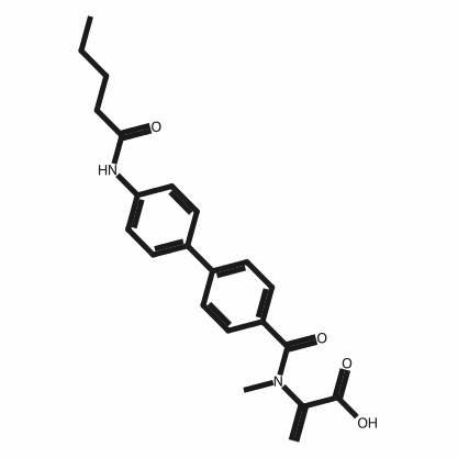 C=C(C(=O)O)N(C)C(=O)c1ccc(-c2ccc(NC(=O)CCCC)cc2)cc1